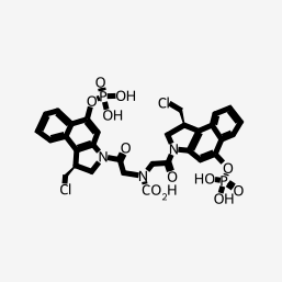 O=C(O)N(CC(=O)N1C[C@@H](CCl)c2c1cc(OP(=O)(O)O)c1ccccc21)CC(=O)N1C[C@@H](CCl)c2c1cc(OP(=O)(O)O)c1ccccc21